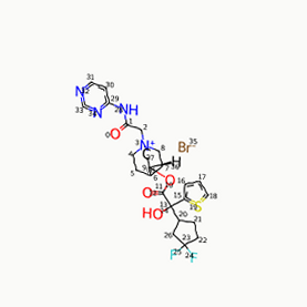 O=C(C[N+]12CCC(CC1)[C@@H](OC(=O)C(O)(c1cccs1)C1CCC(F)(F)C1)C2)Nc1ccncn1.[Br-]